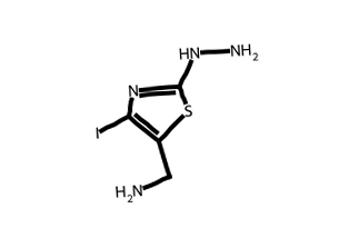 NCc1sc(NN)nc1I